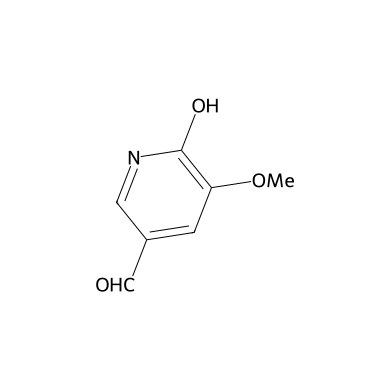 COc1cc(C=O)cnc1O